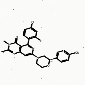 Cc1nc2cc(N3CCO[C@H](c4ccc(C#N)cc4)C3)nc(-c3ccc(Cl)cc3F)c2c(=O)n1C